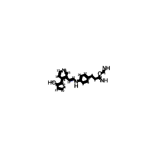 N=COC(=N)CCc1ccc(N/C=C/c2cnccc2-c2sccc2O)cc1